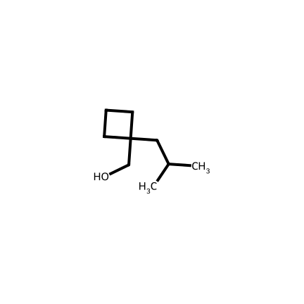 CC(C)CC1(CO)CCC1